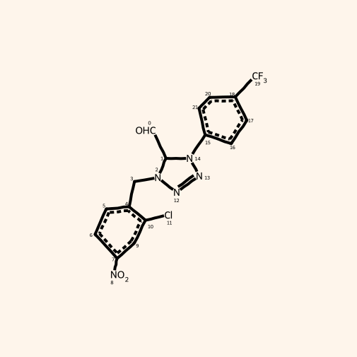 O=CC1N(Cc2ccc([N+](=O)[O-])cc2Cl)N=NN1c1ccc(C(F)(F)F)cc1